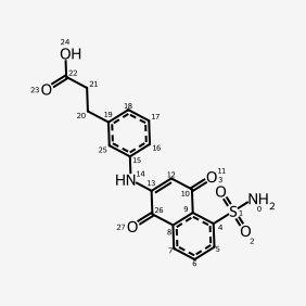 NS(=O)(=O)c1cccc2c1C(=O)C=C(Nc1cccc(CCC(=O)O)c1)C2=O